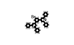 Brc1cc(-c2cc(-c3ccccc3)nc(-c3ccccc3)c2)cc(C2C=C(c3ccccc3)N=C(c3ccccc3)C2)c1